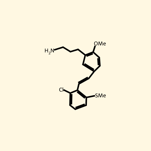 COc1ccc(C=Cc2c(Cl)cccc2SC)cc1CCCN